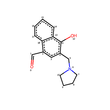 O=Cc1cc(CN2CCCC2)c(O)c2ccccc12